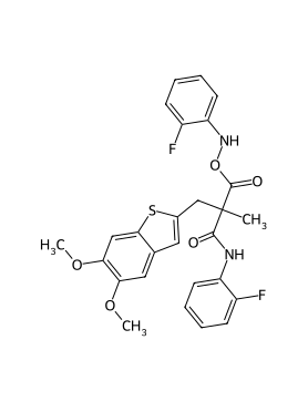 COc1cc2cc(CC(C)(C(=O)Nc3ccccc3F)C(=O)ONc3ccccc3F)sc2cc1OC